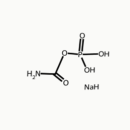 NC(=O)OP(=O)(O)O.[NaH]